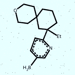 Bc1ccc(C2(CC)CCCC3(CCOCC3)C2)nc1